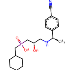 C[C@@H](NC[C@@H](O)CP(=O)(O)CC1CCCCC1)c1ccc(C#N)cc1